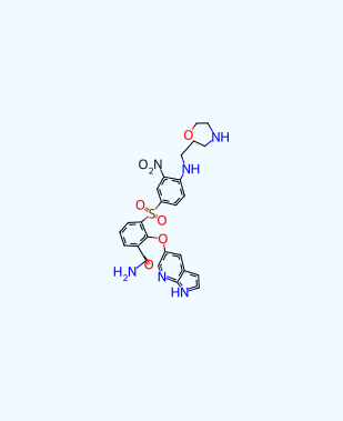 NC(=O)c1cccc(S(=O)(=O)c2ccc(NCC3CNCCO3)c([N+](=O)[O-])c2)c1Oc1cnc2[nH]ccc2c1